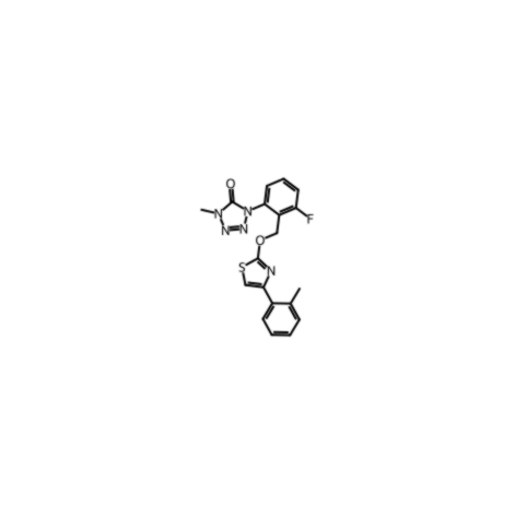 Cc1ccccc1-c1csc(OCc2c(F)cccc2-n2nnn(C)c2=O)n1